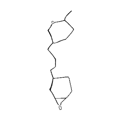 CC1CCC(CCCC2CCC3OC3C2)CO1